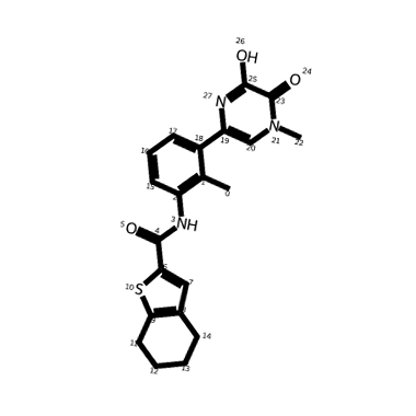 Cc1c(NC(=O)c2cc3c(s2)CCCC3)cccc1-c1cn(C)c(=O)c(O)n1